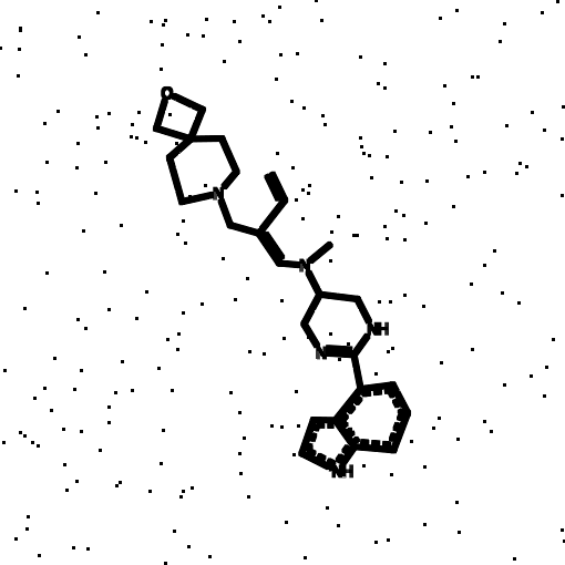 C=C/C(=C\N(C)C1CN=C(c2cccc3[nH]ccc23)NC1)CN1CCC2(CC1)COC2